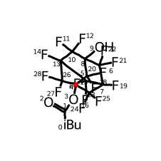 CCC(C)C(=O)OC12C(F)(F)C3(O)C(F)(F)C(F)(C(F)(F)C(F)(C3(F)F)C1(F)F)C2(F)F